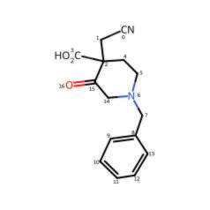 N#CCC1(C(=O)O)CCN(Cc2ccccc2)CC1=O